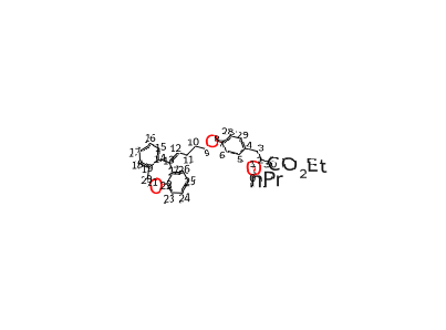 CCCOC(Cc1ccc(OCCCC=C2c3ccccc3COc3ccccc32)cc1)C(=O)OCC